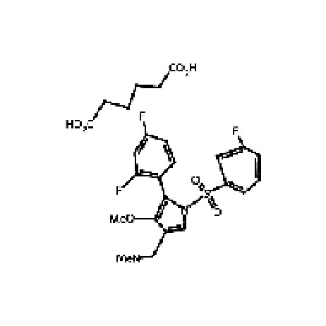 CNCc1cn(S(=O)(=O)c2cccc(F)c2)c(-c2ccc(F)cc2F)c1OC.O=C(O)CCCCC(=O)O